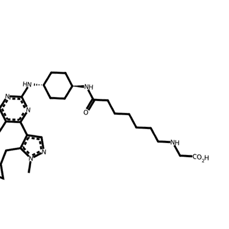 Cn1ncc(-c2nc(N[C@H]3CC[C@H](NC(=O)CCCCCCNCC(=O)O)CC3)ncc2Cl)c1CC1CC1